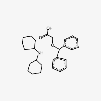 C1CCC(NC2CCCCC2)CC1.O=C(O)COC(c1ccccc1)c1ccccc1